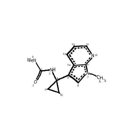 CNC(=O)NC1(c2cn(C)c3ncccc23)CC1